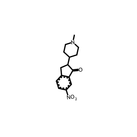 CN1CCC(C2Cc3ccc([N+](=O)[O-])cc3C2=O)CC1